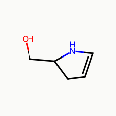 OCC1CC=CN1